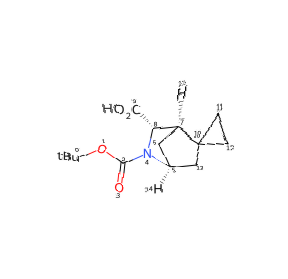 CC(C)(C)OC(=O)N1[C@H]2C[C@@H]([C@H]1C(=O)O)C1(CC1)C2